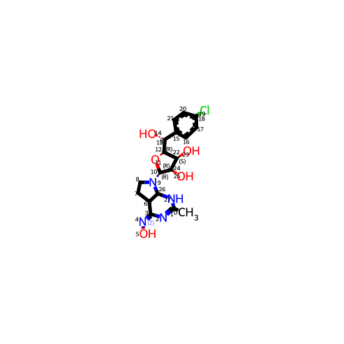 CC1=N/C(=N\O)C2CCN([C@@H]3O[C@H]([C@H](O)c4ccc(Cl)cc4)[C@@H](O)[C@H]3O)C2N1